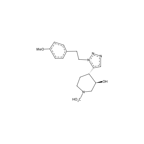 COc1ccc(CCn2nncc2[C@H]2CCN(C(=O)O)C[C@@H]2O)cc1